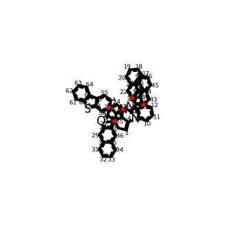 CC1C/C=C(c2c(-n3c4ccccc4c4cc5ccccc5cc43)ccc3oc4cc5ccccc5cc4c23)/N=C(c2ccc3ccccc3c2)\N=C/1c1ccc2c(c1)sc1ccccc12